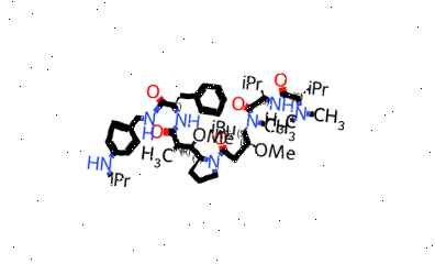 CC[C@H](C)[C@@H]([C@@H](CC(=O)N1CCC[C@H]1[C@H](OC)[C@@H](C)C(=O)N[C@@H](Cc1ccccc1)C(=O)NCc1ccc(NC(C)C)cc1)OC)N(C)C(=O)[C@@H](NC(=O)[C@H](C(C)C)N(C)C)C(C)C